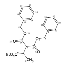 CCOC(=O)C(C)C(C(=O)OCc1ccccc1)C(=O)OCc1ccccc1